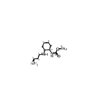 C=CCCNC1CCCCC1NC(=O)OC(C)(C)C